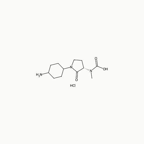 CN(C(=O)O)[C@H]1CCN(C2CCC(N)CC2)C1=O.Cl